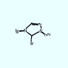 CCCN1N=CN(Br)C1Br